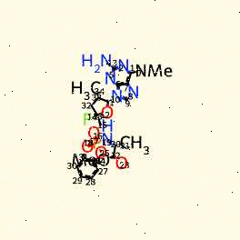 CNc1nc(N)nc2c1ncn2[C@@H]1O[C@](F)(CO[P@@](=O)(N[C@H](C)C(=O)OC)Oc2ccccc2)C[C@@H]1C